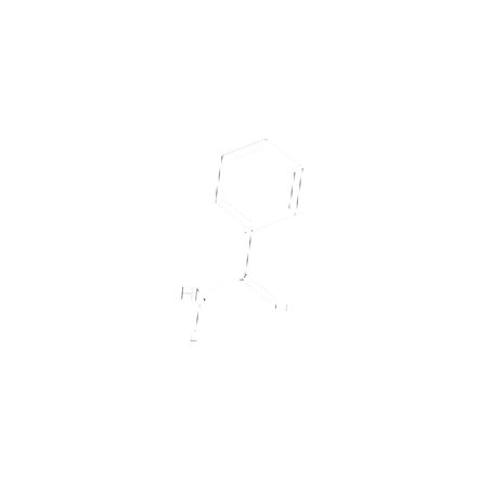 O=C(NF)c1cc[c]cc1